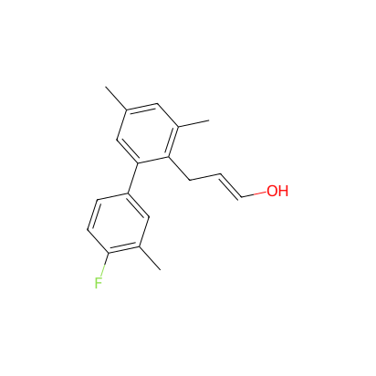 Cc1cc(C)c(CC=CO)c(-c2ccc(F)c(C)c2)c1